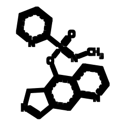 CN=S(=O)(Oc1c2c(cc3ncccc13)C=NC2)c1ccccn1